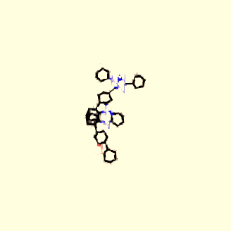 c1ccc(-c2nc(-c3ccc4c5ccccc5n(-c5ccccc5-n5c6ccccc6c6cc7oc8ccccc8c7cc65)c4c3)n(-c3ccccc3)n2)cc1